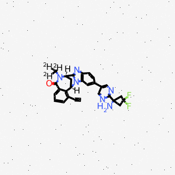 [2H]C([2H])([2H])N1C(=O)c2cccc(C#C)c2[C@H]2C[C@@H]1c1nc3ccc(-c4cnc(C5(N)CC(F)(F)C5)nc4)cc3n12